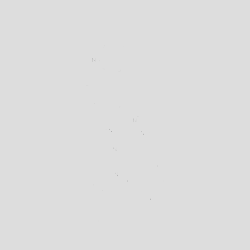 CN(C(=O)OC(C)(C)C)c1ccccc1-c1nnc(-c2ccc(NC(=O)C(C)(C)C)cc2)nn1